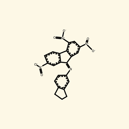 O=[N+]([O-])c1ccc2c(c1)C(=Nc1ccc3c(c1)CCC3)c1cc([N+](=O)[O-])cc([N+](=O)[O-])c1-2